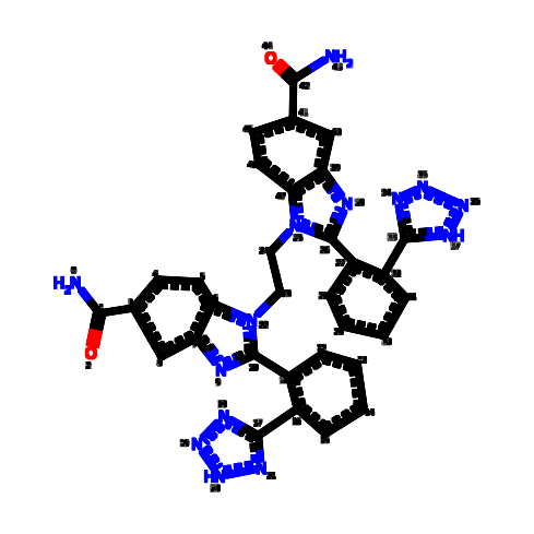 NC(=O)c1ccc2c(c1)nc(-c1ccccc1-c1nn[nH]n1)n2CCn1c(-c2ccccc2-c2nnn[nH]2)nc2cc(C(N)=O)ccc21